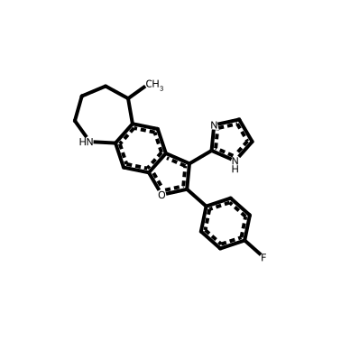 CC1CCCNc2cc3oc(-c4ccc(F)cc4)c(-c4ncc[nH]4)c3cc21